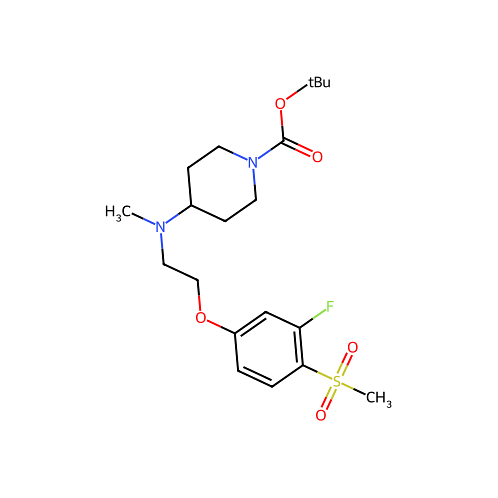 CN(CCOc1ccc(S(C)(=O)=O)c(F)c1)C1CCN(C(=O)OC(C)(C)C)CC1